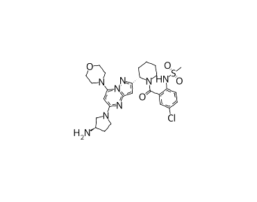 CS(=O)(=O)Nc1ccc(Cl)cc1C(=O)N1CCCC[C@H]1c1cc2nc(N3CC[C@@H](N)C3)cc(N3CCOCC3)n2n1